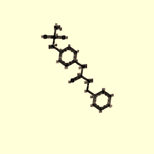 NS(=O)(=O)Nc1ccc(NC(=O)NCc2ccccc2)cc1